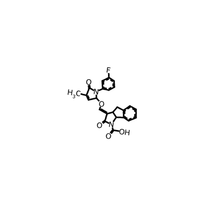 CC1=CC(O/C=C2/C(=O)N(C(=O)O)C3c4ccccc4CC23)N(c2cccc(F)c2)C1=O